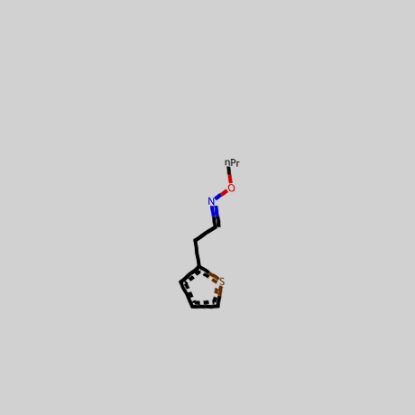 CCCON=CCc1cccs1